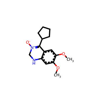 COc1cc2c(cc1OC)C(C1CCCC1)=[N+]([O-])CN2